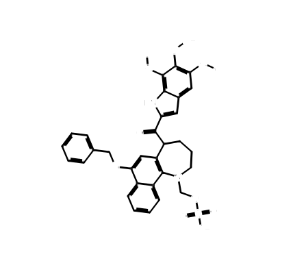 COc1cc2cc(C(=O)C3CCCN(COS(C)(=O)=O)c4c3cc(OCc3ccccc3)c3ccccc43)[nH]c2c(OC)c1OC